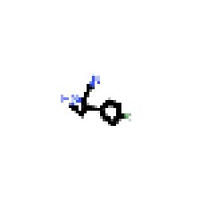 N#Cc1[nH]ccc1-c1ccc(Cl)cc1